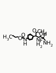 CCCCOC(=O)Nc1ccc(C(C(C)=O)C(N)C(O)C(F)(F)CN)cc1